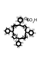 C1=Cc2nc1c(-c1ccccc1)c1ccc([nH]1)c(-c1ccccc1)c1nc(c(-c3ccccc3)c3ccc([nH]3)c2-c2ccccc2)C=C1.CC(=O)O